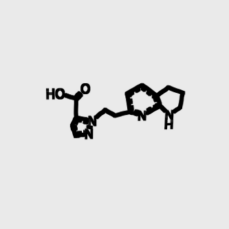 O=C(O)c1ccnn1CCc1ccc2c(n1)NCCC2